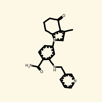 Cc1cn(-c2ccc(C(N)=O)c(NCc3cccnc3)c2)c2c1C(=O)CCC2